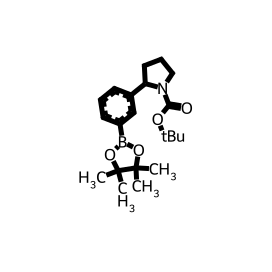 CC(C)(C)OC(=O)N1CCCC1c1cccc(B2OC(C)(C)C(C)(C)O2)c1